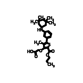 CCCOC(=O)c1sc(-c2cccc(NC3CC(C)(C)CC(C)(C)C3)c2)c(C)c1OCC(=O)O